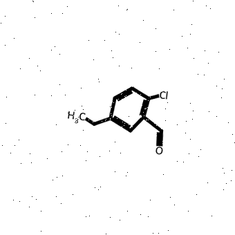 CCc1ccc(Cl)c(C=O)c1